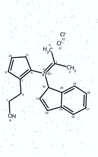 C[C](C)=[Zr+2]([C]1=C(CCO)C=CC1)[CH]1C=Cc2ccccc21.[Cl-].[Cl-]